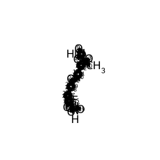 Cn1c(=O)n(C2CCC(=O)NC2=O)c2ccc(C3CCN(CC(=O)N4CC=C(c5ccc6cc(O)c(N7CC(=O)NS7(=O)=O)c(F)c6c5)CC4)CC3)cc21